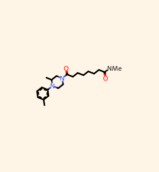 CNC(=O)CCCCCCC(=O)N1CCN(c2cccc(C)c2)C(C)C1